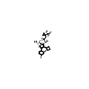 Cn1nc(-c2ccc(F)cc2F)c(C2CCC2)c1NC(=O)CC1(C(F)(F)F)CC1